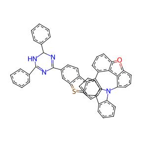 C1=CC2c3ccccc3N(c3cccc4oc5cccc(-c6cccc7sc8cc(C9=NC(c%10ccccc%10)NC(c%10ccccc%10)=N9)ccc8c67)c5c34)C2C=C1